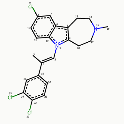 CC(=Cn1c2c(c3cc(Cl)ccc31)CCN(C)CC2)c1ccc(Cl)c(Cl)c1